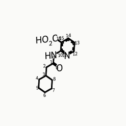 O=C(CC1CCCCC1)Nc1ncccc1C(=O)O